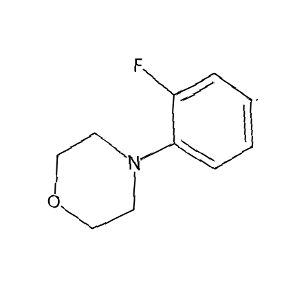 Fc1c[c]ccc1N1CCOCC1